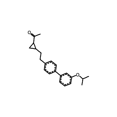 CC(=O)C1CC1CCc1ccc(-c2cccc(OC(C)C)c2)cc1